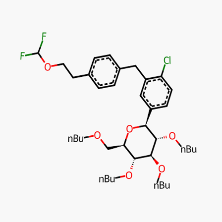 CCCCOC[C@H]1O[C@@H](c2ccc(Cl)c(Cc3ccc(CCOC(F)F)cc3)c2)[C@H](OCCCC)[C@@H](OCCCC)[C@@H]1OCCCC